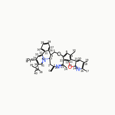 C=C1CC2C(CCc3cc(C)c4c(oc5nc(C)c(C)cc54)c3/C(C)=N\1)c1ccccc1-c1cc(C(C)C)c([Si](C)(C)C)c[n+]12